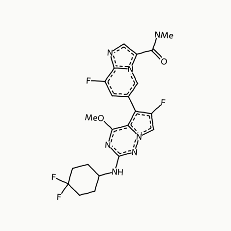 CNC(=O)c1cnc2c(F)cc(-c3c(F)cn4nc(NC5CCC(F)(F)CC5)nc(OC)c34)cn12